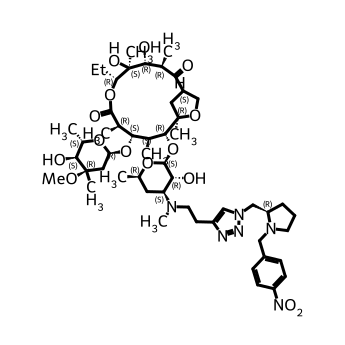 CC[C@H]1OC(=O)[C@H](C)[C@@H](O[C@H]2C[C@@](C)(OC)[C@@H](O)[C@H](C)O2)[C@H](C)[C@@H](O[C@@H]2O[C@H](C)C[C@H](N(C)CCc3cn(C[C@H]4CCCN4Cc4ccc([N+](=O)[O-])cc4)nn3)[C@H]2O)[C@@]2(C)C[C@@H](CO2)C(=O)[C@H](C)[C@@H](O)[C@]1(C)O